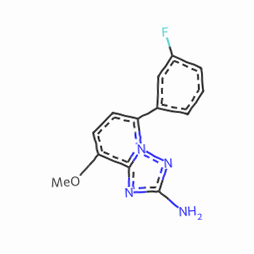 COc1ccc(-c2cccc(F)c2)n2nc(N)nc12